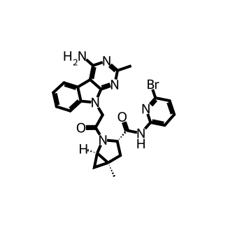 Cc1nc(N)c2c3ccccc3n(CC(=O)N3[C@H](C(=O)Nc4cccc(Br)n4)C[C@@]4(C)C[C@@H]34)c2n1